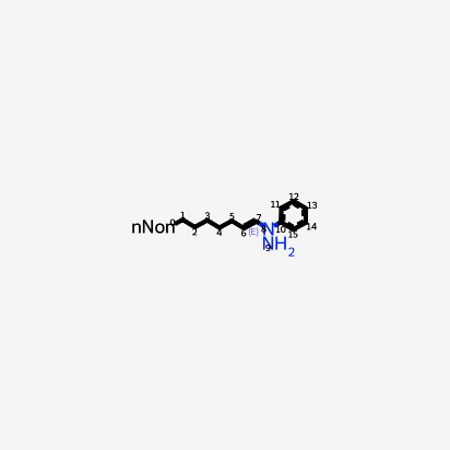 CCCCCCCCCCCCCC/C=C/N(N)c1ccccc1